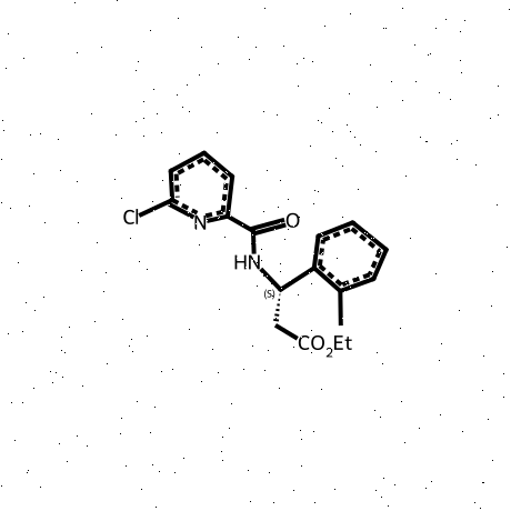 CCOC(=O)C[C@H](NC(=O)c1cccc(Cl)n1)c1ccccc1C